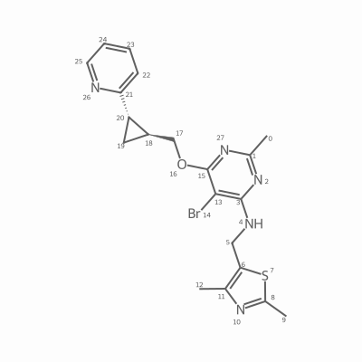 Cc1nc(NCc2sc(C)nc2C)c(Br)c(OC[C@H]2C[C@@H]2c2ccccn2)n1